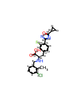 Cc1c(Cl)cccc1CN[C@H](Cc1ccc(-c2noc(C3CC3)n2)c(F)c1)C(=O)O